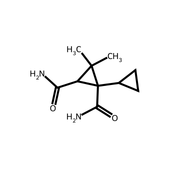 CC1(C)C(C(N)=O)C1(C(N)=O)C1CC1